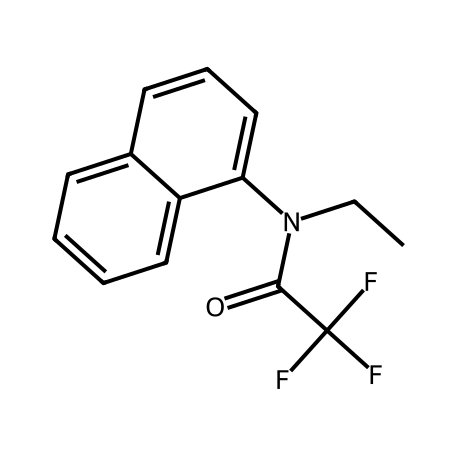 CCN(C(=O)C(F)(F)F)c1cccc2ccccc12